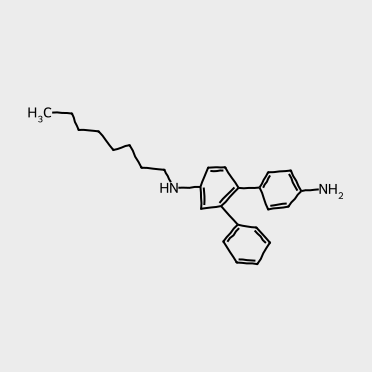 CCCCCCCCNc1ccc(-c2ccc(N)cc2)c(-c2ccccc2)c1